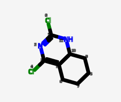 ClC1=NC(Cl)=C2CCCCC2N1